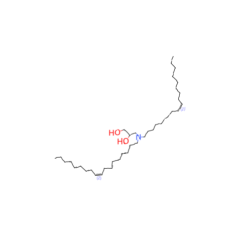 CCCCCCCC/C=C\CCCCCCCCN(CCCCCCCC/C=C\CCCCCCCC)CC(O)CO